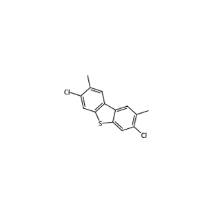 Cc1cc2c(cc1Cl)sc1cc(Cl)c(C)cc12